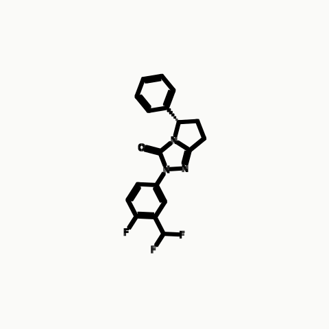 O=c1n(-c2ccc(F)c(C(F)F)c2)nc2n1[C@H](c1ccccc1)CC2